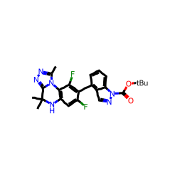 Cc1nnc2n1-c1c(cc(F)c(-c3cccc4c3cnn4C(=O)OC(C)(C)C)c1F)NC2(C)C